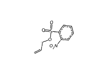 C=C[CH]OS(=O)(=O)c1ccccc1[N+](=O)[O-]